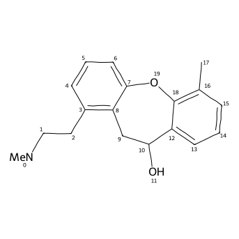 CNCCc1cccc2c1CC(O)c1cccc(C)c1O2